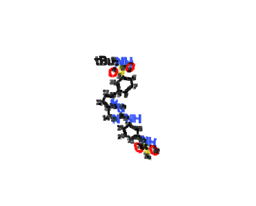 CC(C)(C)NS(=O)(=O)c1cccc(-c2ccc3cnc(Nc4cccc(NS(C)(=O)=O)c4)nn23)c1